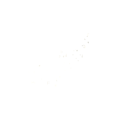 CN(NC(=O)c1ccc(C(F)=CC(c2cc(Br)c(Cl)c(Br)c2)C(F)(F)F)cc1C(F)(F)F)C(=O)NCC(F)(F)F